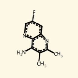 Cc1nc2cc(F)cnc2c(N)c1C